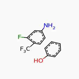 Nc1ccc(C(F)(F)F)c(F)c1.Oc1ccccc1